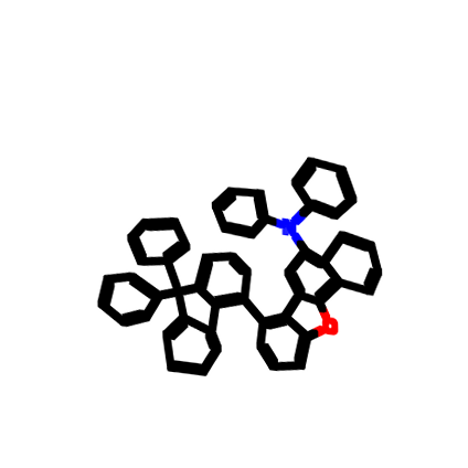 c1ccc(N(c2ccccc2)c2cc3c(oc4cccc(-c5cccc6c5-c5ccccc5C6(c5ccccc5)c5ccccc5)c43)c3ccccc23)cc1